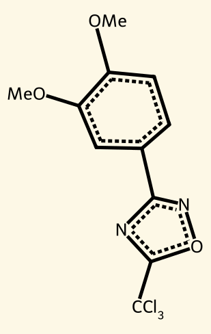 COc1ccc(-c2noc(C(Cl)(Cl)Cl)n2)cc1OC